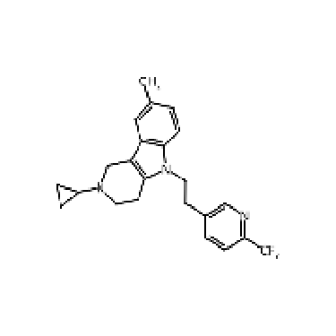 Cc1ccc2c(c1)c1c(n2CCc2ccc(C(F)(F)F)nc2)CCN(C2CC2)C1